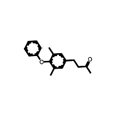 CC(=O)CCc1cc(C)c(Oc2[c]cccc2)c(C)c1